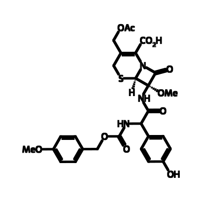 COc1ccc(COC(=O)NC(C(=O)N[C@]2(OC)C(=O)N3C(C(=O)O)=C(COC(C)=O)CS[C@@H]32)c2ccc(O)cc2)cc1